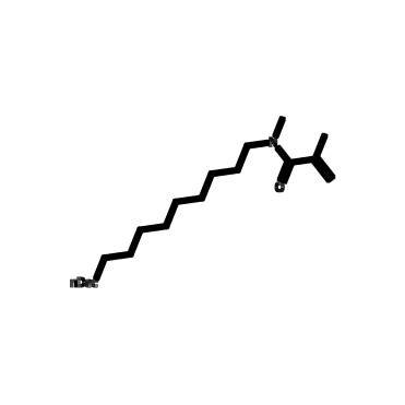 C=C(C)C(=O)N(C)CCCCCCCCCCCCCCCCCCC